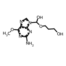 COc1nc(N)nc2c1ncn2C(O)OCCCO